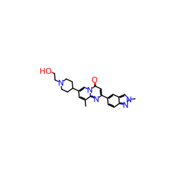 Cc1cc(C2CCN(CCO)CC2)cn2c(=O)cc(-c3ccc4nn(C)cc4c3)nc12